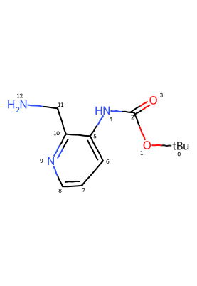 CC(C)(C)OC(=O)Nc1cccnc1CN